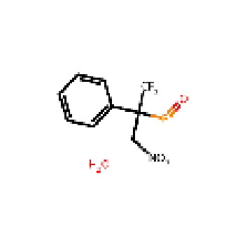 O.O=PC(C[N+](=O)[O-])(c1ccccc1)C(F)(F)F